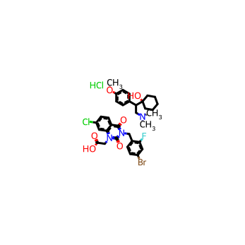 COc1ccc(C(CN(C)C)C2(O)CCCCC2)cc1.Cl.O=C(O)Cn1c(=O)n(Cc2ccc(Br)cc2F)c(=O)c2ccc(Cl)cc21